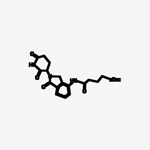 CCCCCCCCCCCCCC(=O)Nc1cccc2c1CN(C1CCC(=O)NC1=O)C2=O